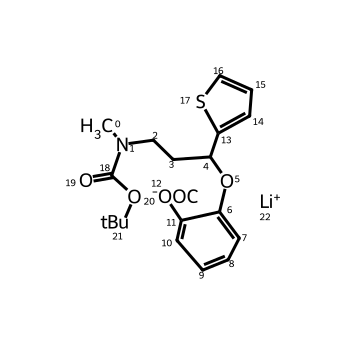 CN(CCC(Oc1ccccc1C(=O)[O-])c1cccs1)C(=O)OC(C)(C)C.[Li+]